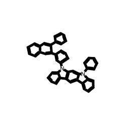 c1ccc(-c2cc3ccccc3cc2-c2cccc(-n3c4ccccc4c4cc5c6ccccc6n(-c6ccccc6)c5cc43)c2)cc1